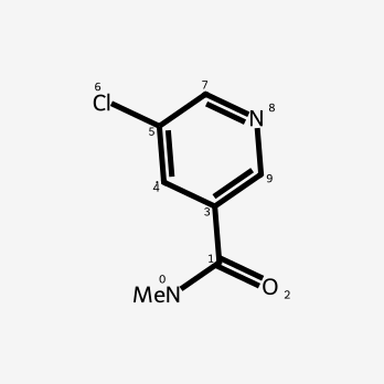 CNC(=O)c1[c]c(Cl)cnc1